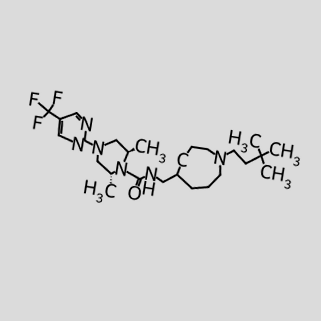 C[C@@H]1CN(c2ncc(C(F)(F)F)cn2)C[C@@H](C)N1C(=O)NCC1CCCN(CCC(C)(C)C)CCC1